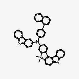 C[Si]1(C)c2cc(N(c3ccc(-c4cccc5ccccc45)cc3)c3ccc4sc5ccccc5c4c3)ccc2-c2c1ccc1sc3ccccc3c21